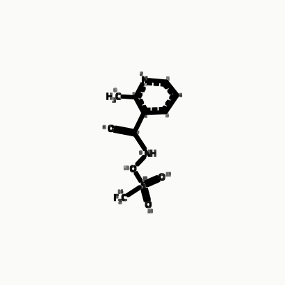 Cc1ncccc1C(=O)NOS(=O)(=O)C(F)(F)F